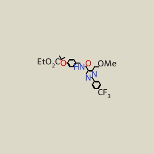 CCOC(=O)C(C)(C)Oc1ccc(CNC(=O)c2cnc(-c3ccc(C(F)(F)F)cc3)nc2CCOC)cc1